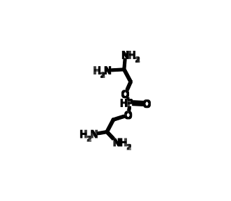 NC(N)CO[PH](=O)OCC(N)N